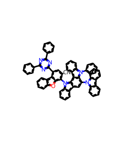 N#Cc1cc(-c2nc(-c3ccccc3)nc(-c3ccccc3)n2)c2c(oc3ccccc32)c1-n1c2ccccc2c2cc(-n3c4ccccc4c4ccccc43)c3c(c4ccccc4n3-c3ccccc3)c21